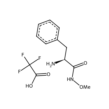 CONC(=O)[C@@H](N)Cc1ccccc1.O=C(O)C(F)(F)F